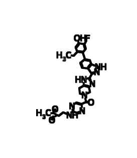 CCc1cc(O)c(F)cc1-c1ccc2c(-c3nc4c([nH]3)CCN(C(=O)c3cnc(NCCS(C)(=O)=O)cn3)C4)n[nH]c2c1